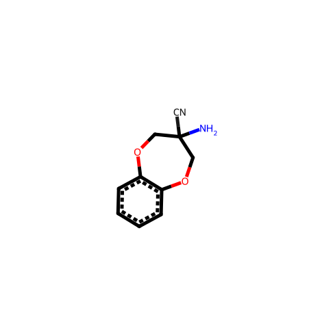 N#CC1(N)COc2ccccc2OC1